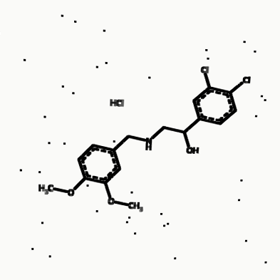 COc1ccc(CNCC(O)c2ccc(Cl)c(Cl)c2)cc1OC.Cl